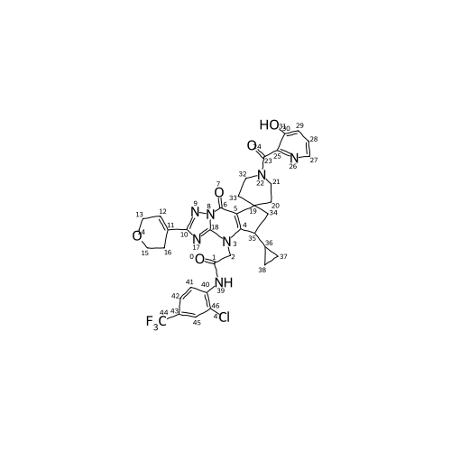 O=C(Cn1c2c(c(=O)n3nc(C4=CCOCC4)nc13)C1(CCN(C(=O)c3ncccc3O)CC1)CC2C1CC1)Nc1ccc(C(F)(F)F)cc1Cl